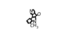 Cc1cccc2c3c(cnc12)C(=O)c1ccncc1-3